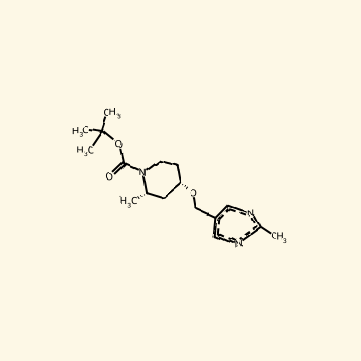 Cc1ncc(CO[C@H]2CCN(C(=O)OC(C)(C)C)[C@@H](C)C2)cn1